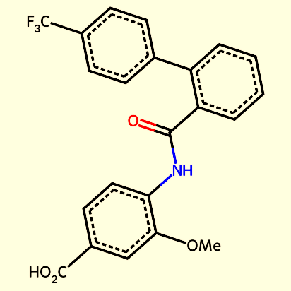 COc1cc(C(=O)O)ccc1NC(=O)c1ccccc1-c1ccc(C(F)(F)F)cc1